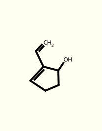 C=CC1=CCCC1O